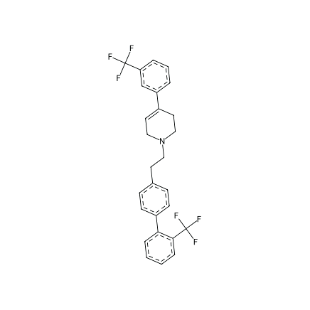 FC(F)(F)c1cccc(C2=CCN(CCc3ccc(-c4ccccc4C(F)(F)F)cc3)CC2)c1